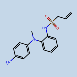 C=CCS(=O)(=O)Nc1ccccc1N(C)c1ccc(N)cc1